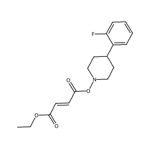 CCOC(=O)/C=C/C(=O)ON1CCC(c2ccccc2F)CC1